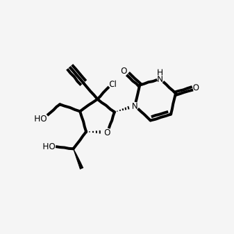 C#CC1(Cl)C(CO)[C@@H]([C@@H](C)O)O[C@H]1n1ccc(=O)[nH]c1=O